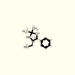 CC1(C)N[C@H](CO)[C@@H](c2ccccc2)O1